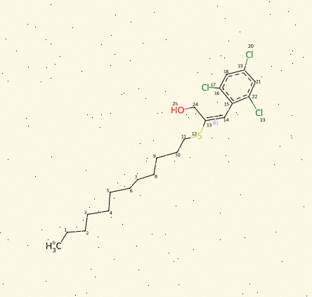 CCCCCCCCCCCCS/C(=C/c1c(Cl)cc(Cl)cc1Cl)CO